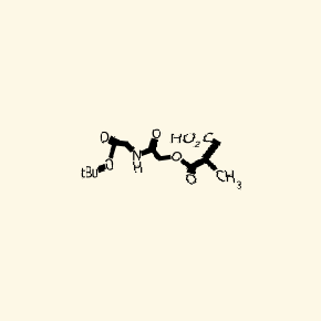 CC(=CC(=O)O)C(=O)OCC(=O)NCC(=O)OC(C)(C)C